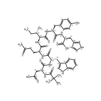 CC[C@H](C)[C@H](NC(=O)[C@H](CCC(N)=O)NC(=O)[C@H](Cc1c[nH]c2ccccc12)NC(=O)[C@H](CC(=O)O)NC(=O)C(C)(C)N)C(=O)N[C@@H](Cc1ccc(O)cc1)C(=O)N[C@@H](Cc1c[nH]cn1)C(=O)O